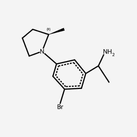 CC(N)c1cc(Br)cc(N2CCC[C@H]2C)c1